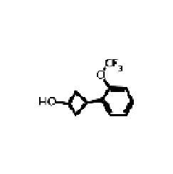 OC1CC(c2ccccc2OC(F)(F)F)C1